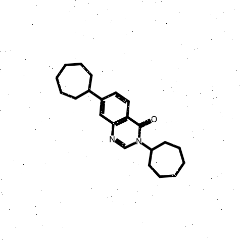 O=c1c2ccc(C3CCCCCC3)cc2ncn1C1CCCCCC1